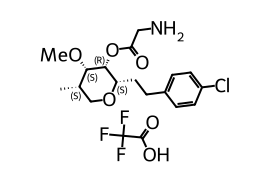 CO[C@@H]1[C@H](OC(=O)CN)[C@H](CCc2ccc(Cl)cc2)OC[C@@H]1C.O=C(O)C(F)(F)F